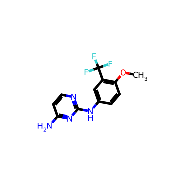 COc1ccc(Nc2nccc(N)n2)cc1C(F)(F)F